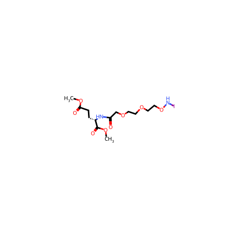 COC(=O)CC[C@H](NC(=O)COCCOCCONI)C(=O)OC